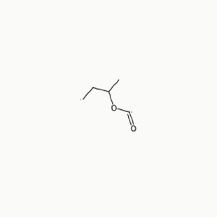 [CH2]CC(C)O[C]=O